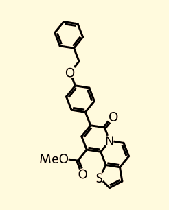 COC(=O)c1cc(-c2ccc(OCc3ccccc3)cc2)c(=O)n2ccc3ccsc3c12